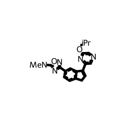 CNc1nc(-c2ccc3c(c2)C(c2cncc(OC(C)C)n2)=CC3)no1